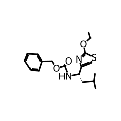 CCOc1nc([C@H](CC(C)C)NC(=O)OCc2ccccc2)cs1